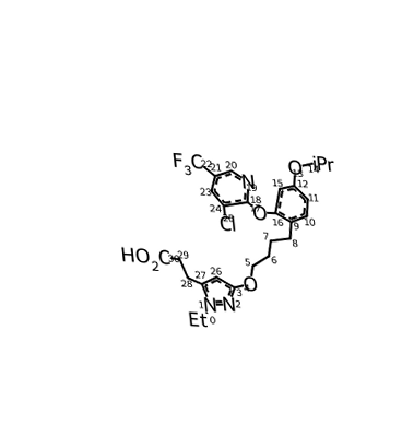 CCn1nc(OCCCCc2ccc(OC(C)C)cc2Oc2ncc(C(F)(F)F)cc2Cl)cc1CCC(=O)O